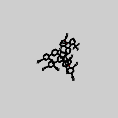 N#Cc1ccc(-c2ccc3c(c2)c2cc(-c4ccc(C#N)cc4C#N)ccc2n3-c2ccc(-c3c(C(F)(F)F)cccc3C(F)(F)F)c(-c3cc(C#N)ccc3-n3c4ccc(-c5ccc(C#N)cc5C#N)cc4c4cc(-c5ccc(C#N)cc5C#N)ccc43)c2)c(C#N)c1